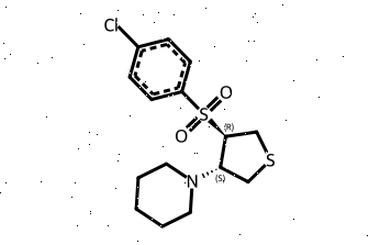 O=S(=O)(c1ccc(Cl)cc1)[C@H]1CSC[C@@H]1N1CCCCC1